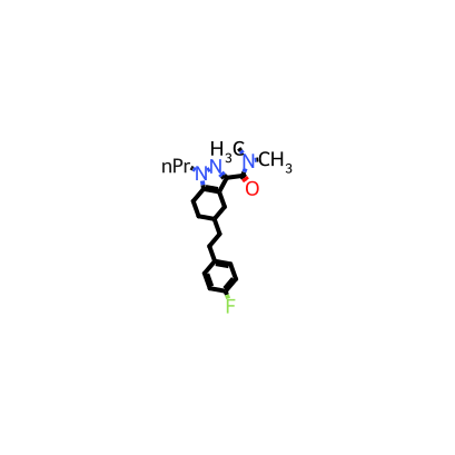 CCCn1nc(C(=O)N(C)C)c2c1CCC(CCc1ccc(F)cc1)C2